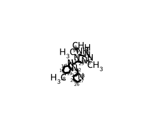 CC1=NNC2C(NC(C)C)=NC(c3nc4ccc(C)cc4n3Cc3ccccn3)=CN12